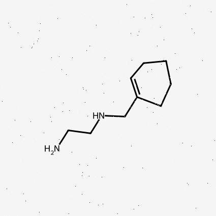 NCCNCC1=CCCCC1